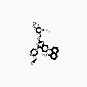 CO[C@@H]1C[C@H](COc2nc3c(c(N4CCN[C@@H](CC#N)C4)n2)CCN(c2cccc4cccc(C)c24)C3)N(C)C1